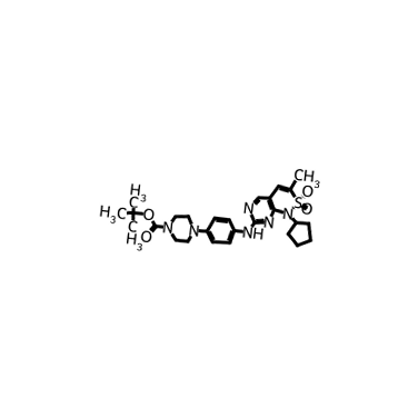 CC1=Cc2cnc(Nc3ccc(N4CCN(C(=O)OC(C)(C)C)CC4)cc3)nc2N(C2CCCC2)S1(=O)=O